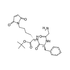 CC(C)(C)OC(=O)[C@H](CCCCN1C(=O)C=CC1=O)NC(=O)[C@H](Cc1ccccc1)NC(=O)CN